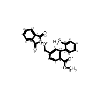 COC(=O)c1ccc(CON2C(=O)c3ccccc3C2=O)cc1-c1ccccc1C